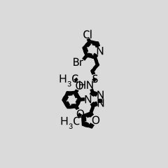 COc1cccc(OC)c1-n1c(NSCCc2ncc(Cl)cc2Br)nnc1-c1ccco1